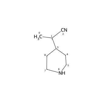 C[C](C#N)C1CCNCC1